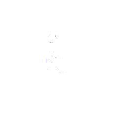 CC(C)(C)[C@@H](CNC(=O)O)NC(=O)OCc1ccccc1